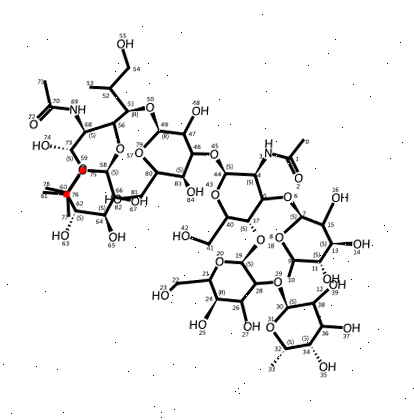 CC(=O)N[C@H]1C(O[C@@H]2OC(C)[C@@H](O)[C@H](O)C2O)[C@H](O[C@@H]2OC(CO)[C@H](O)C(O)C2O[C@@H]2O[C@@H](C)[C@@H](O)C(O)C2O)C(CO)O[C@H]1OC1C(O)[C@H](O[C@H](C(C)CO)C(O[C@@H]2OC(C)[C@@H](O)[C@H](O)C2O)[C@H](NC(C)=O)[C@@H](O)OC(C)C)OC(CO)[C@@H]1O